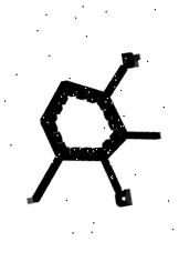 [CH2]c1ccc(Br)c(C)c1Cl